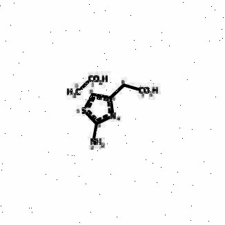 CC(=O)O.Nc1nc(CC(=O)O)cs1